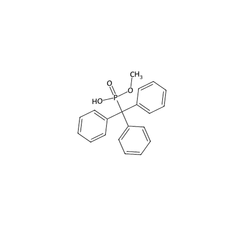 COP(=O)(O)C(c1ccccc1)(c1ccccc1)c1ccccc1